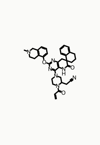 C=CC(=O)N1CCN(c2nc(Oc3cccc4c3CCN(C)C4)nc3c2NC(=O)C2(CCCc4ccccc42)C3)CC1CC#N